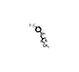 Cc1ccc(NCc2nnn(C)n2)cc1